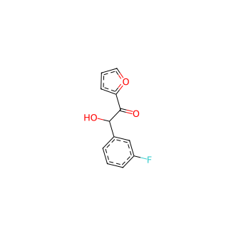 O=C(c1ccco1)C(O)c1cccc(F)c1